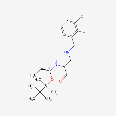 CC[C@@H](NC(C=O)CNCc1cccc(Cl)c1F)O[Si](C)(C)C(C)(C)C